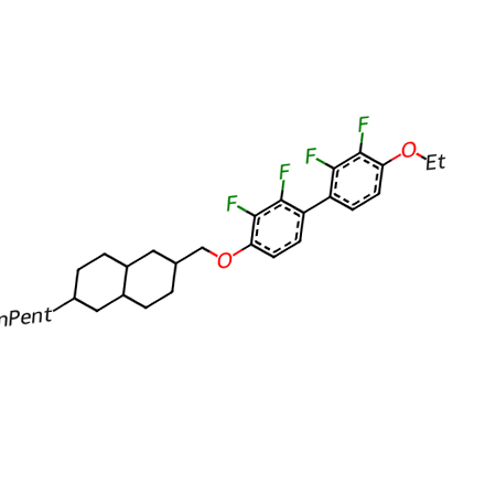 CCCCCC1CCC2CC(COc3ccc(-c4ccc(OCC)c(F)c4F)c(F)c3F)CCC2C1